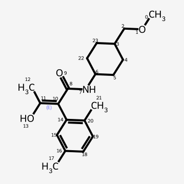 COCC1CCC(NC(=O)/C(=C(\C)O)c2cc(C)ccc2C)CC1